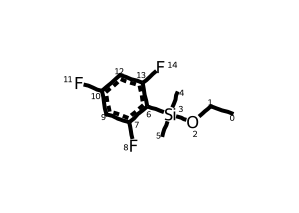 CCO[Si](C)(C)c1c(F)cc(F)cc1F